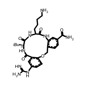 CCC(C)[C@@H]1NC(=O)c2cc(NC(=N)N)ccc2OCc2ccc(C(N)=O)cc2NC(=O)C(CCCCN)NC1=O